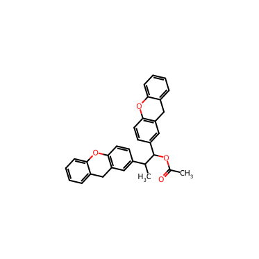 CC(=O)OC(c1ccc2c(c1)Cc1ccccc1O2)C(C)c1ccc2c(c1)Cc1ccccc1O2